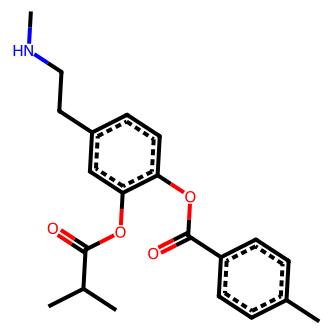 CNCCc1ccc(OC(=O)c2ccc(C)cc2)c(OC(=O)C(C)C)c1